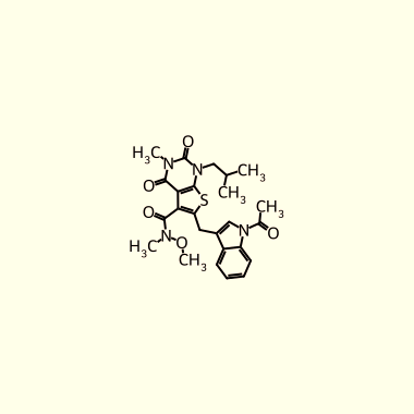 CON(C)C(=O)c1c(Cc2cn(C(C)=O)c3ccccc23)sc2c1c(=O)n(C)c(=O)n2CC(C)C